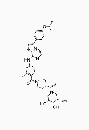 Cc1cc(Nc2nccn3c(-c4ccc(OC(F)F)cc4)cnc23)ccc1C(=O)N1CCC(C(=O)N2CC(O)C(O)C(O)C2)CC1